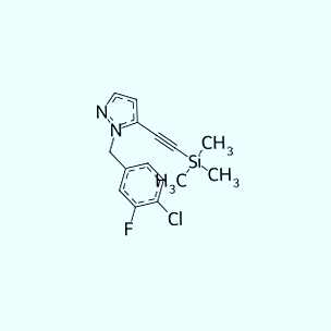 C[Si](C)(C)C#Cc1ccnn1Cc1ccc(Cl)c(F)c1